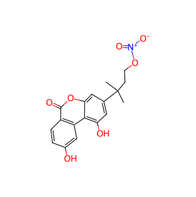 CC(C)(CCO[N+](=O)[O-])c1cc(O)c2c(c1)oc(=O)c1ccc(O)cc12